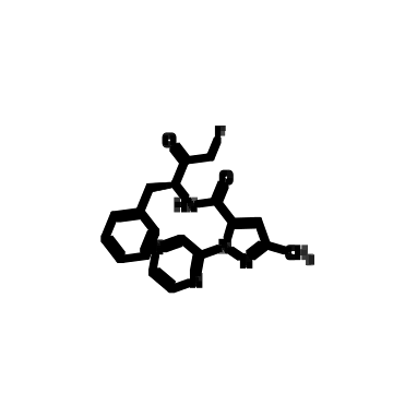 Cc1cc(C(=O)N[C@@H](Cc2ccccc2)C(=O)CF)n(-c2cnccn2)n1